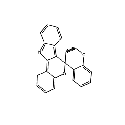 C1=CCC2=C3N=c4ccccc4=C3C3(OC2=C1)c1ccccc1Oc1ccccc13